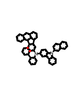 c1ccc(-c2ccccc2N(c2ccc3c(c2)-c2cccc4cc5ccccc5c-3c24)c2ccc3c(c2)c2ccccc2n3-c2ccc3ccccc3c2)cc1